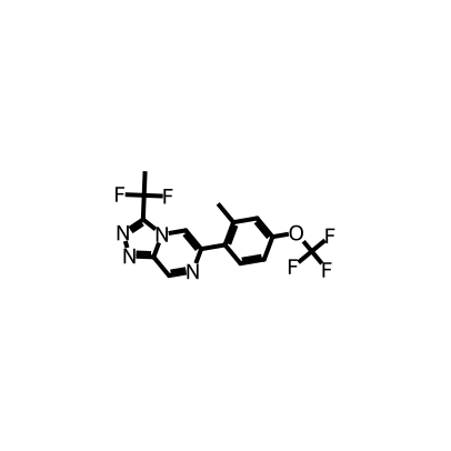 Cc1cc(OC(F)(F)F)ccc1-c1cn2c(C(C)(F)F)nnc2cn1